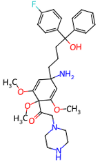 COC1=CC(N)(CCCC(O)(c2ccccc2)c2ccc(F)cc2)C=C(OC)C1(OC)C(=O)CN1CCNCC1